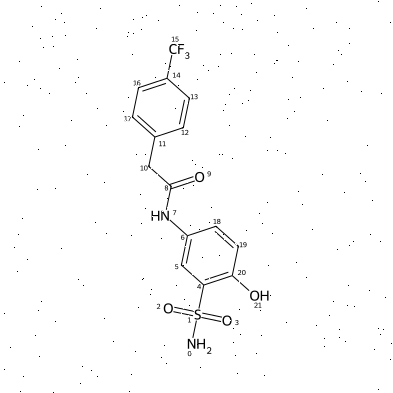 NS(=O)(=O)c1cc(NC(=O)Cc2ccc(C(F)(F)F)cc2)ccc1O